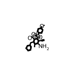 C#Cc1c(N)c(C)c(Cc2ccccc2)c(C(=O)O)c1S(=O)(=O)c1ccc(OC)cc1